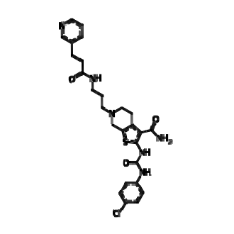 NC(=O)c1c(NC(=O)Nc2ccc(Cl)cc2)sc2c1CCN(CCCNC(=O)CCc1cccnc1)C2